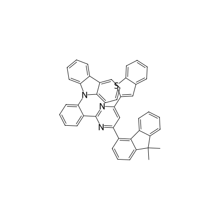 CC1(C)c2ccccc2-c2c(-c3cc(-c4cc5ccccc5s4)nc(-c4ccccc4-n4c5ccccc5c5ccccc54)n3)cccc21